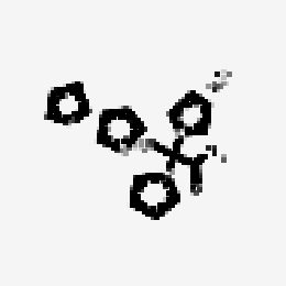 CC(=O)C(N)([c-]1cccc1)[c-]1cccc1.[Fe+2].[Fe+2].c1cc[cH-]c1.c1cc[cH-]c1